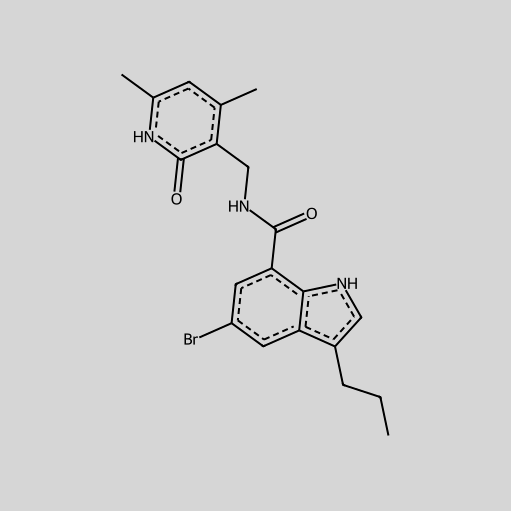 CCCc1c[nH]c2c(C(=O)NCc3c(C)cc(C)[nH]c3=O)cc(Br)cc12